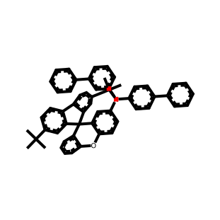 CC(C)(C)c1ccc2c(c1)C1(c3ccccc3Oc3ccc(N(c4ccc(-c5ccccc5)cc4)c4cccc(-c5ccccc5)c4)cc31)c1cc(C(C)(C)C)ccc1-2